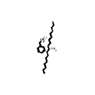 N.[CH2]CCCCCCCCCCCCCCCCC.[Cl][Mg][CH2]c1ccccc1